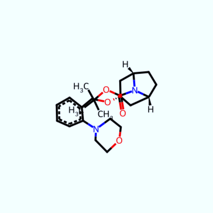 CC(C)(C)OC(=O)N1[C@@H]2CC[C@H]1C[C@@H](OCc1ccccc1N1CCOCC1)C2